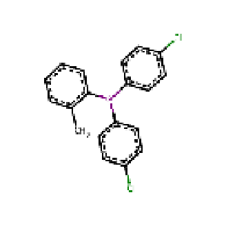 Cc1ccccc1P(c1ccc(Cl)cc1)c1ccc(Cl)cc1